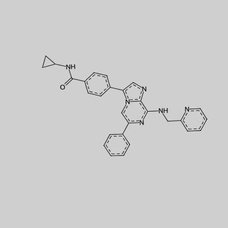 O=C(NC1CC1)c1ccc(-c2cnc3c(NCc4ccccn4)nc(-c4ccccc4)cn23)cc1